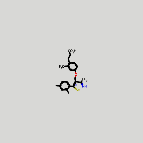 Cc1ccc(/C(S)=C(\COc2ccc(CCC(=O)O)c(C(F)(F)F)c2)C(=N)C(F)(F)F)c(C)c1